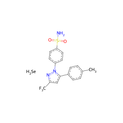 Cc1ccc(-c2cc(C(F)(F)F)nn2-c2ccc(S(N)(=O)=O)cc2)cc1.[SeH2]